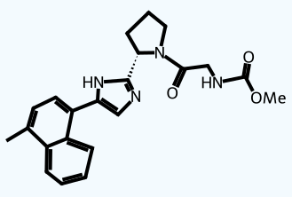 COC(=O)NCC(=O)N1CCC[C@H]1c1ncc(-c2ccc(C)c3ccccc23)[nH]1